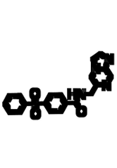 O=C(NCc1cn2ccnc2cn1)c1ccc(S(=O)(=O)c2ccccc2)cc1